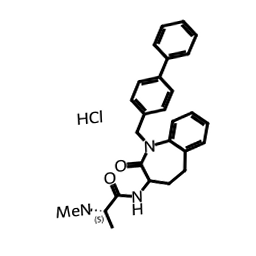 CN[C@@H](C)C(=O)NC1CCc2ccccc2N(Cc2ccc(-c3ccccc3)cc2)C1=O.Cl